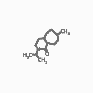 CC1CCC2CCN(C(C)C)C(=O)C2CC1